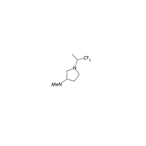 CNC1CCN(C(C)C(F)(F)F)C1